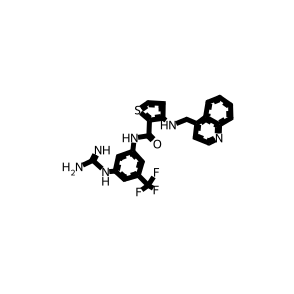 N=C(N)Nc1cc(NC(=O)c2sccc2NCc2ccnc3ccccc23)cc(C(F)(F)F)c1